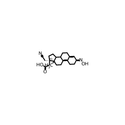 C[C@]12CCC3=C4CCC(=NO)C=C4CCC3C1CC[C@]2(CC#N)CC(=O)O